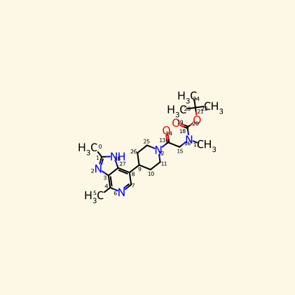 Cc1nc2c(C)ncc(C3CCN(C(=O)CN(C)C(=O)OC(C)(C)C)CC3)c2[nH]1